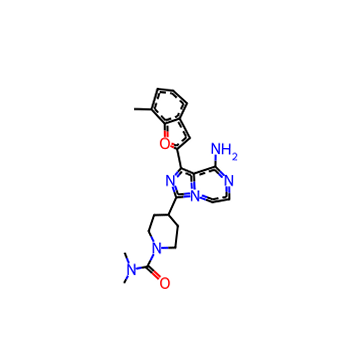 Cc1cccc2cc(-c3nc(C4CCN(C(=O)N(C)C)CC4)n4ccnc(N)c34)oc12